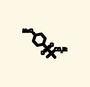 CCOC(=O)C(C)(C)S(=O)(=O)C1CCC(OC)CC1